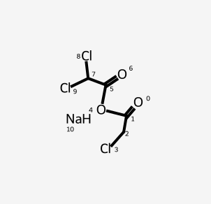 O=C(CCl)OC(=O)C(Cl)Cl.[NaH]